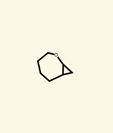 C1CCC2CC2OC1